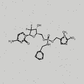 Cn1c(COP(=O)(NCc2ccccc2)OC[C@H]2O[C@@H](n3ccc(N)nc3=O)C(F)(F)[C@@H]2O)cnc1[N+](=O)[O-]